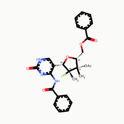 CC(=O)O[C@@]1(C)[C@@H](COC(=O)c2ccccc2)O[C@@H](c2c[nH]c(=O)nc2NC(=O)c2ccccc2)[C@@]1(C)F